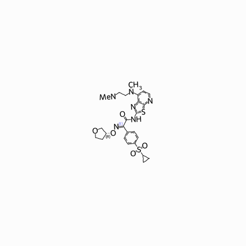 CNCCN(C)c1ccnc2sc(NC(=O)/C(=N/O[C@@H]3CCOC3)c3ccc(S(=O)(=O)C4CC4)cc3)nc12